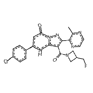 Cc1nccnc1-c1nn2c(=O)cc(-c3ccc(Cl)cc3)[nH]c2c1C(=O)N1CC(CF)C1